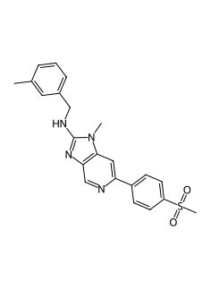 Cc1cccc(CNc2nc3cnc(-c4ccc(S(C)(=O)=O)cc4)cc3n2C)c1